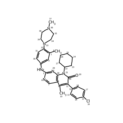 Cc1cc(Nc2ncc3c(C)c(-c4ccc(Cl)cc4)c(=O)n(C4CCCCC4)c3n2)ccc1N1CCN(C)CC1